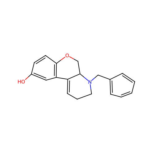 Oc1ccc2c(c1)C1=CCCN(Cc3ccccc3)C1CO2